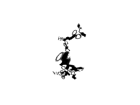 C=C=C(C)OC(=O)CCC(=N)OOCCOC(=O)C(C)CC(CC(C)(CC)C(=O)OCC=C)C(=O)NC(C)(C)CS(=O)(=O)O